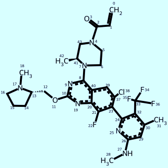 C=CC(=O)N1CCN(c2nc(OC[C@@H]3CCCN3C)nc3c(F)c(-c4nc(NC)cc(C)c4C(F)(F)F)c(Cl)cc23)[C@@H](C)C1